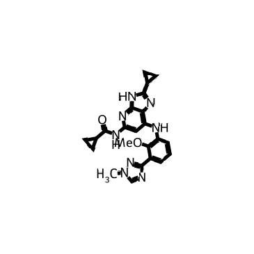 COc1c(Nc2cc(NC(=O)C3CC3)nc3[nH]c(C4CC4)nc23)cccc1-c1ncn(C)n1